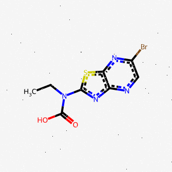 CCN(C(=O)O)c1nc2ncc(Br)nc2s1